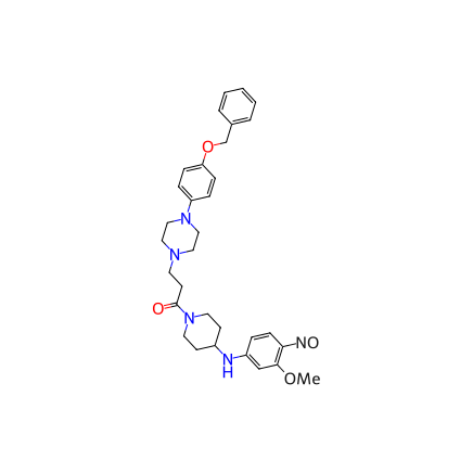 COc1cc(NC2CCN(C(=O)CCN3CCN(c4ccc(OCc5ccccc5)cc4)CC3)CC2)ccc1N=O